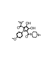 COc1ccc(-n2c(C(=O)N(C)C)c(O)c(O)c2C(=O)N2CCN(C)CC2)cc1